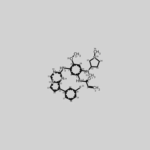 C=CC(=O)Nc1cc(Nc2ncn3ccc(-c4cccc(F)c4)c3n2)c(OC)cc1N(C)C1CCN(C)C1